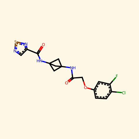 O=C(COc1ccc(Cl)c(F)c1)NC12CC(NC(=O)c3cnsn3)(C1)C2